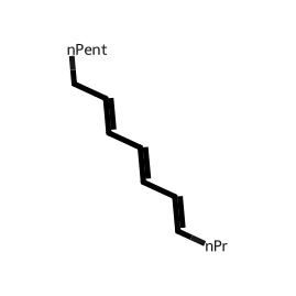 [CH2]CCC=CC=CC=CCCCCCC